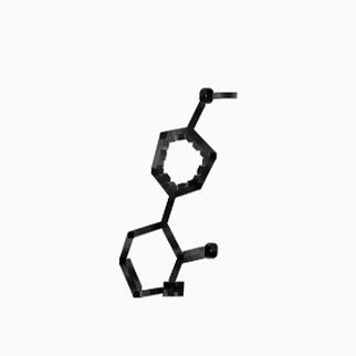 COc1ccc(C2CC=CNC2=O)cc1